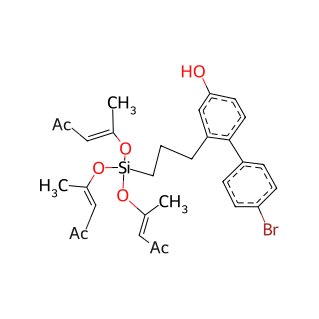 CC(=O)C=C(C)O[Si](CCCc1cc(O)ccc1-c1ccc(Br)cc1)(OC(C)=CC(C)=O)OC(C)=CC(C)=O